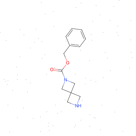 O=C(OCc1ccccc1)N1CC2(CNC2)C1